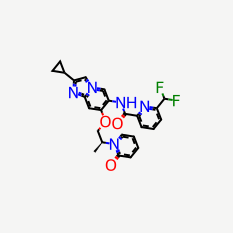 C[C@@H](COc1cc2nc(C3CC3)cn2cc1NC(=O)c1cccc(C(F)F)n1)n1ccccc1=O